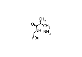 C=C(C)C(=O)NCCCCC.N